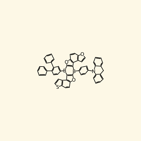 c1ccc(-c2ccc(B3c4oc5ccc6occc6c5c4B(c4ccc(N5c6ccccc6Cc6ccccc65)cc4)c4oc5ccc6sccc6c5c43)cc2-c2ccccc2)cc1